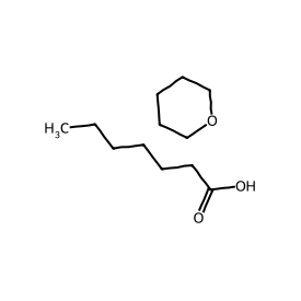 C1CCOCC1.CCCCCCC(=O)O